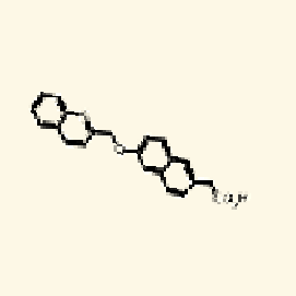 O=C(O)Cc1ccc2cc(OCc3ccc4ccccc4n3)ccc2c1